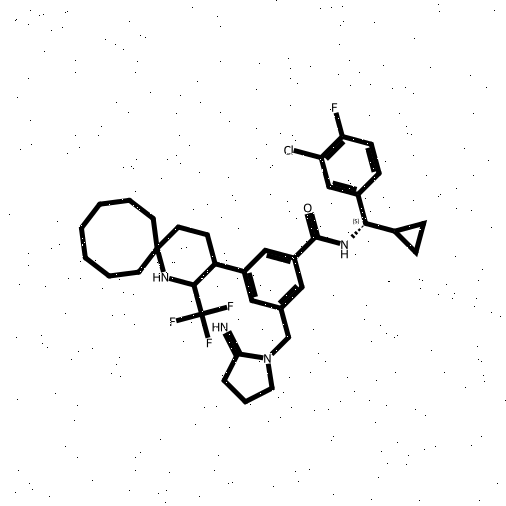 N=C1CCCN1Cc1cc(C(=O)N[C@H](c2ccc(F)c(Cl)c2)C2CC2)cc(C2CCC3(CCCCCCC3)NC2C(F)(F)F)c1